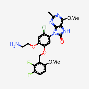 COc1ccc(F)c(F)c1COc1cc(-n2c(=O)[nH]c3c(OC)nc(C)nc32)c(Cl)cc1OCCN